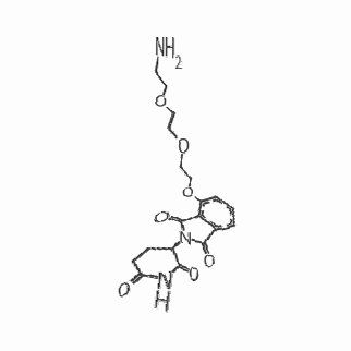 NCCOCCOCCOc1cccc2c1C(=O)N(C1CCC(=O)NC1=O)C2=O